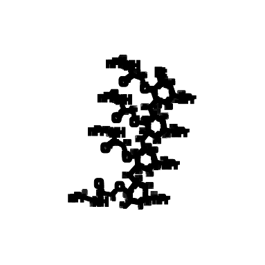 CCCNC(=O)COc1c(C)cc(CCC)cc1Cc1cc(CCC)cc(Cc2cc(CCC)cc(Cc3cc(CCC)cc(CC)c3OCC(=O)NCCC)c2OCC(=O)NCCC)c1OCC(=O)NCCC